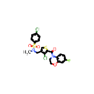 CN(Cc1csc(C(=O)N2CCOc3cc(F)ccc32)c1Cl)S(=O)(=O)c1ccc(Cl)cc1